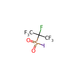 O=S(=O)(I)C(F)(C(F)(F)F)C(F)(F)F